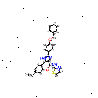 Cc1ccc(-c2[nH]c(-c3ccc(OCc4ccccc4)cc3)nc2C(=O)Nc2nccs2)cc1